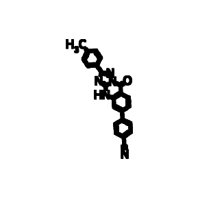 Cc1ccc(-c2nc3[nH]c4cc(-c5ccc(C#N)cc5)ccc4c(=O)n3n2)cc1